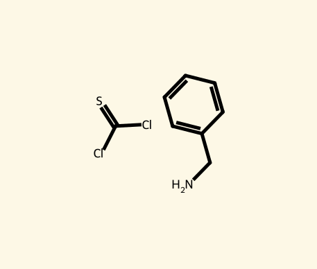 NCc1ccccc1.S=C(Cl)Cl